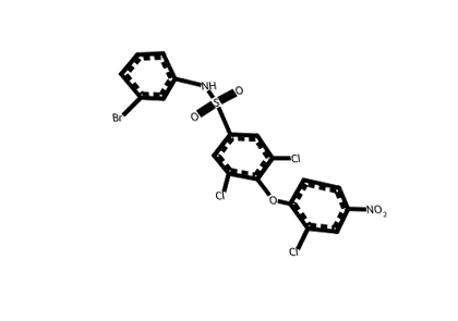 O=[N+]([O-])c1ccc(Oc2c(Cl)cc(S(=O)(=O)Nc3cccc(Br)c3)cc2Cl)c(Cl)c1